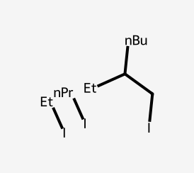 CCCCC(CC)CI.CCCI.CCI